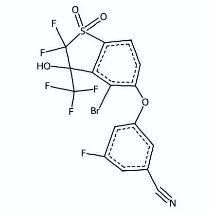 N#Cc1cc(F)cc(Oc2ccc3c(c2Br)C(O)(C(F)(F)F)C(F)(F)S3(=O)=O)c1